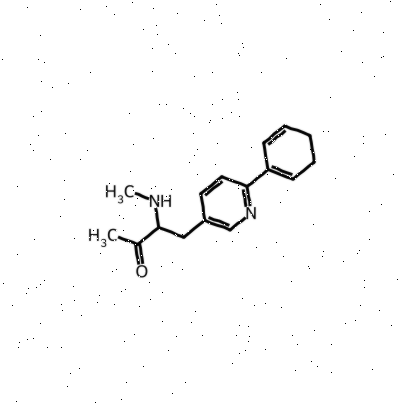 CNC(Cc1ccc(C2=CCCC=C2)nc1)C(C)=O